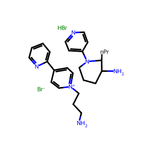 Br.CCCC1C(N)CCCN1c1ccncc1.NCCC[n+]1ccc(-c2ccccn2)cc1.[Br-]